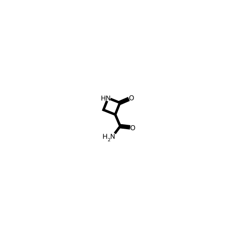 NC(=O)C1CNC1=O